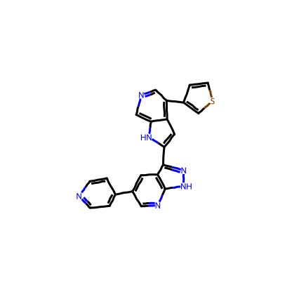 c1cc(-c2cnc3[nH]nc(-c4cc5c(-c6ccsc6)cncc5[nH]4)c3c2)ccn1